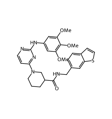 COc1cc(Nc2nccc(N3CCCC(C(=O)NCc4ccc5ccsc5c4)C3)n2)cc(OC)c1OC